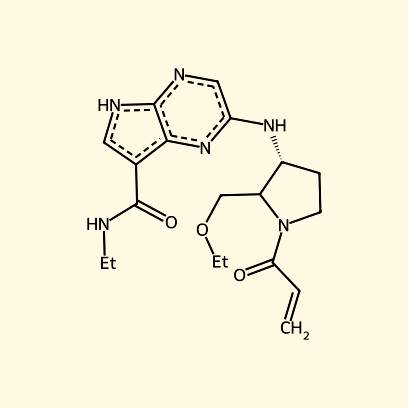 C=CC(=O)N1CC[C@@H](Nc2cnc3[nH]cc(C(=O)NCC)c3n2)C1COCC